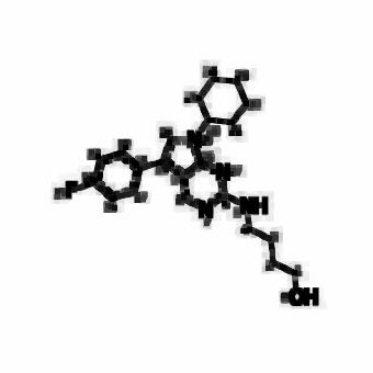 OCCCCNc1ncc2c(-c3ccc(F)cc3)cn(C3CCCCC3)c2n1